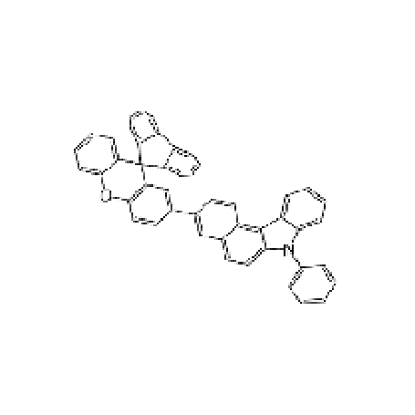 c1ccc(-n2c3ccccc3c3c4ccc(-c5ccc6c(c5)C5(c7ccccc7O6)c6ccccc6-c6ccccc65)cc4ccc32)cc1